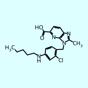 CCCCCNc1ccc(Cn2c(C)nc3ccc(C(=O)O)nc32)c(Cl)c1